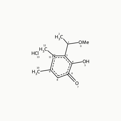 COC(C)c1c(O)c(=O)cc(C)n1C.Cl